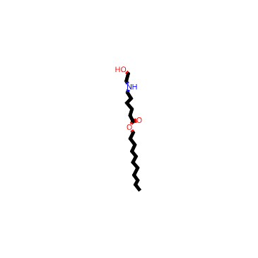 CCCCCCCCCCCOC(=O)CCCCCNCCO